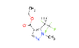 CCOC(=O)c1cnn(C)c1C(C)(F)C(F)(F)F